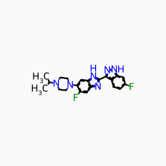 CC(C)N1CCN(c2cc3[nH]c(-c4n[nH]c5cc(F)ccc45)nc3cc2F)CC1